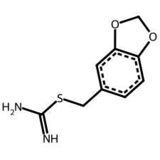 N=C(N)SCc1ccc2c(c1)OCO2